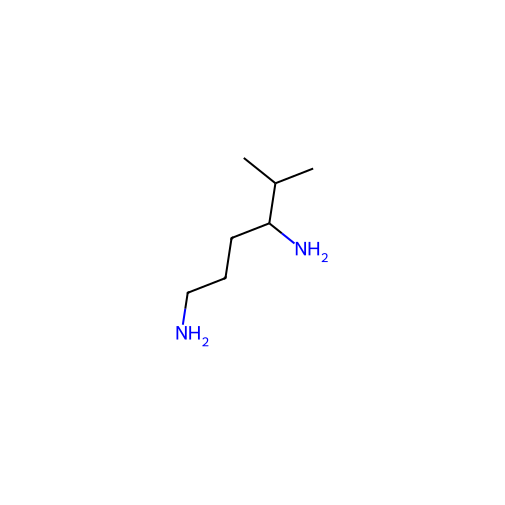 CC(C)C(N)CCCN